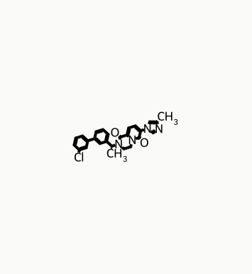 Cc1cn(-c2ccc3n(c2=O)CCN([C@@H](C)c2cccc(-c4cccc(Cl)c4)c2)C3=O)cn1